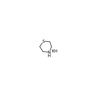 C1CSCCN1.[KH]